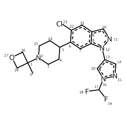 CC1(N2CCC(c3cc4c(cnn4-c4cnn(C(F)F)c4)cc3Cl)CC2)COC1